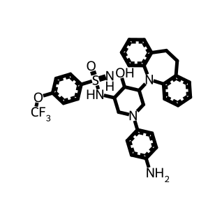 N=S(=O)(NC1CN(c2ccc(N)cc2)CC(N2c3ccccc3CCc3ccccc32)C1O)c1ccc(OC(F)(F)F)cc1